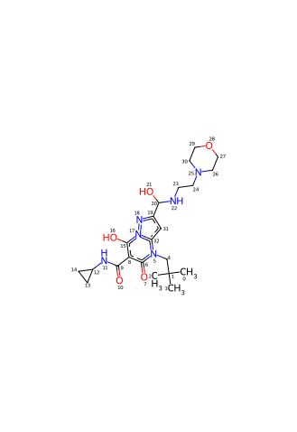 CC(C)(C)Cn1c(=O)c(C(=O)NC2CC2)c(O)n2nc(C(O)NCCN3CCOCC3)cc12